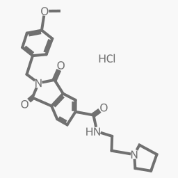 COc1ccc(CN2C(=O)c3ccc(C(=O)NCCN4CCCC4)cc3C2=O)cc1.Cl